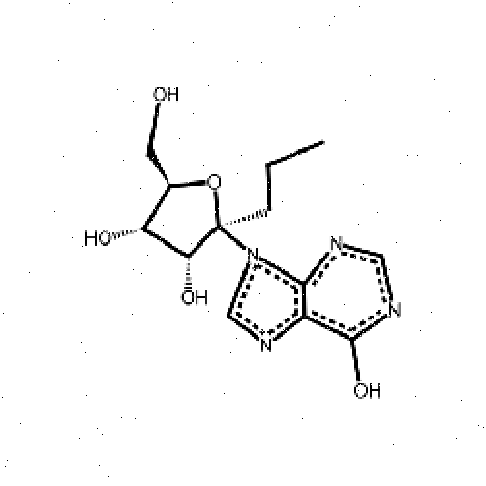 CCC[C@@]1(n2cnc3c(O)ncnc32)O[C@H](CO)[C@@H](O)[C@H]1O